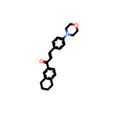 O=C(C=Cc1ccc(N2CCOCC2)cc1)c1ccc2c(c1)CCCC2